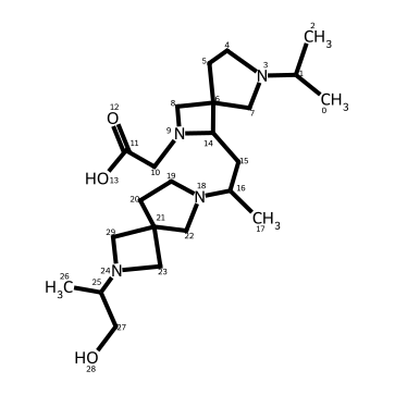 CC(C)N1CCC2(C1)CN(CC(=O)O)C2CC(C)N1CCC2(C1)CN(C(C)CO)C2